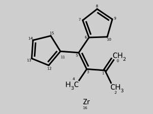 C=C(C)C(C)=C(C1=CC=CC1)C1=CC=CC1.[Zr]